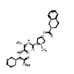 CNC(=O)[C@@H](NC(=O)[C@@H](NC(=O)[C@H]1C[C@H](OC(=O)N2CCc3ccccc3C2)CN1C)C(C)(C)C)C1CCCCC1